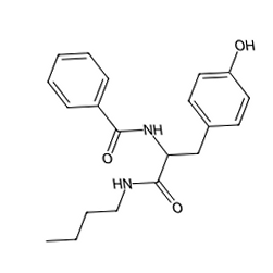 CCCCNC(=O)C(Cc1ccc(O)cc1)NC(=O)c1ccccc1